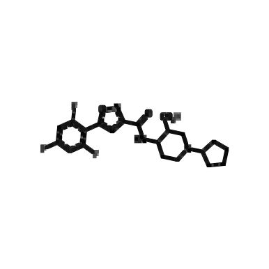 O=C(NC1CCN(C2CCCC2)CC1C(=O)O)c1cc(-c2c(F)cc(F)cc2F)on1